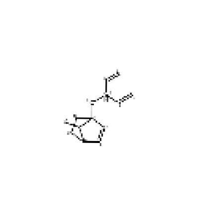 C=C[SiH](C=C)OC12C=CC(CC1)C2C